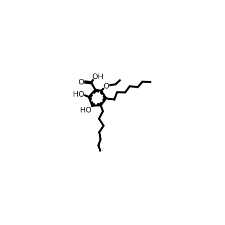 CCCCCCCc1c(O)c(O)c(C(=O)O)c(OCC)c1CCCCCCC